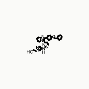 OCCn1cc(Nc2nccc(-c3c(-c4ccc(OCc5ccccc5)cc4)nc4ccccn34)n2)cn1